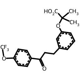 CC(C)(Oc1cccc(CCC(=O)c2ccc(OC(F)(F)F)cc2)c1)C(=O)O